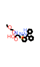 CCOCCON=C(C(=O)O)c1csc(NC(c2ccccc2)(c2ccccc2)c2ccccc2)n1